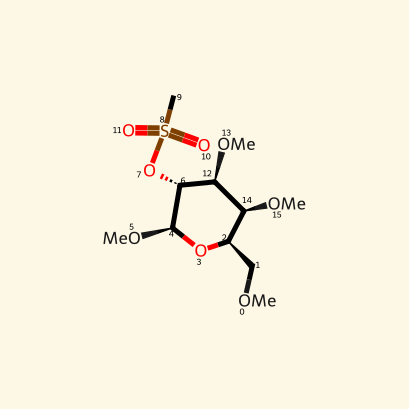 COC[C@H]1O[C@@H](OC)[C@H](OS(C)(=O)=O)[C@@H](OC)[C@H]1OC